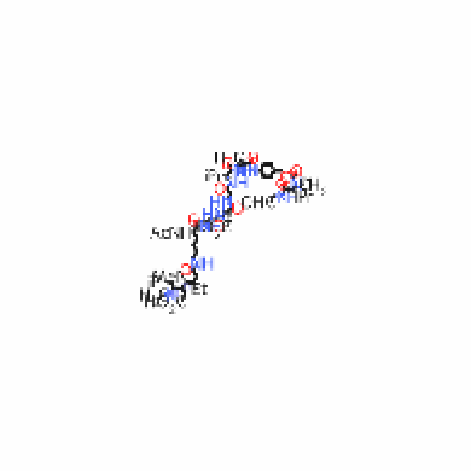 CC[C@H](CC(=O)NCCCC[C@H](NC(C)=O)C(=O)NCC(=O)N[C@@H](CC(=O)O)C(=O)NCC(=O)N[C@H](C(=O)N[C@@H](C)C(=O)Nc1ccc(COC(=O)N(C)[C@H](C(=O)NCC=O)C(C)C)cc1)C(C)C)/C(NC)=C(CC(=O)O)/C(CC(C)C)=N/C